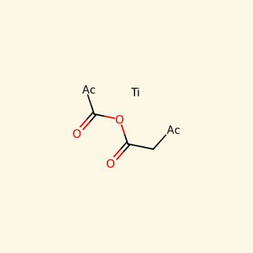 CC(=O)CC(=O)OC(=O)C(C)=O.[Ti]